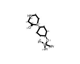 CC(C)[Si](O[C@H]1CC[C@H](N2CCNCC2=O)CC1)(C(C)C)C(C)C